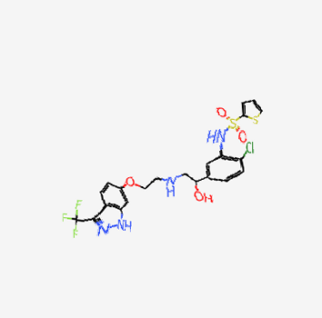 O=S(=O)(Nc1cc([C@@H](O)CNCCOc2ccc3c(C(F)(F)F)n[nH]c3c2)ccc1Cl)c1cccs1